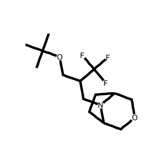 CC(C)(C)OCC(CN1C2CCC1COC2)C(F)(F)F